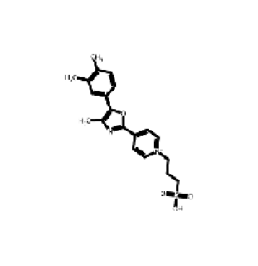 Cc1ccc(-c2oc(-c3cc[n+](CCCS(=O)(=O)O)cc3)nc2C)cc1C